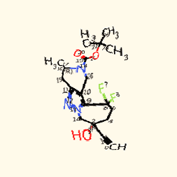 C#C[C@]1(O)CCC(F)(F)c2c3c(nn2C1)C[C@@H](C)N(C(=O)OC(C)(C)C)C3